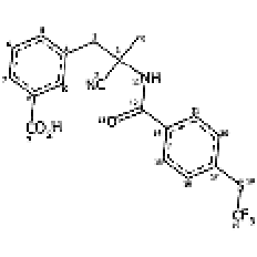 CC(C#N)(Cc1cccc(C(=O)O)c1)NC(=O)c1ccc(SC(F)(F)F)cc1